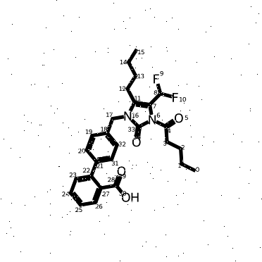 CCCCC(=O)n1c(C(F)F)c(CCCC)n(Cc2ccc(-c3ccccc3C(=O)O)cc2)c1=O